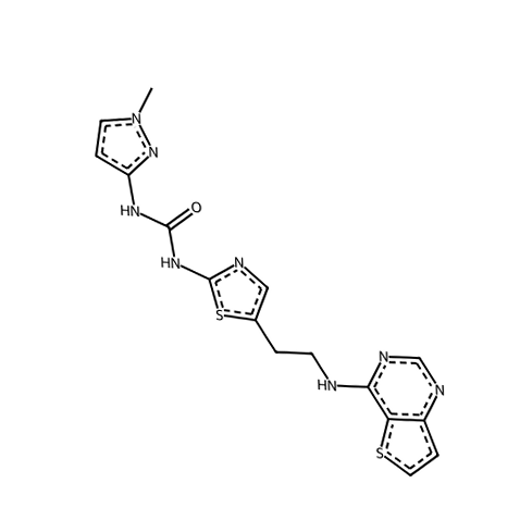 Cn1ccc(NC(=O)Nc2ncc(CCNc3ncnc4ccsc34)s2)n1